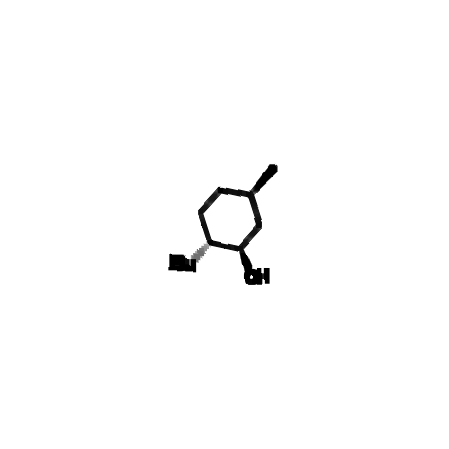 CCC(C)[C@@H]1CC[C@@H](C)C[C@H]1O